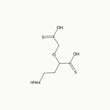 CCCCCCCCC(OCC(O)=S)C(O)=S